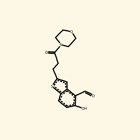 O=Cc1c(O)ccc2sc(CCC(=O)N3CCOCC3)cc12